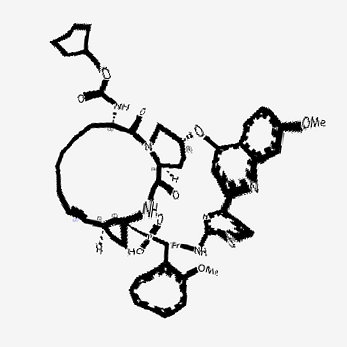 COc1ccc2c(O[C@@H]3C[C@H]4C(=O)N[C@]5(P(=O)(O)Cc6ccccc6OC)C[C@H]5/C=C\CCCCC[C@H](NC(=O)OC5CCCC5)C(=O)N4C3)cc(-c3csc(NC(C)C)n3)nc2c1